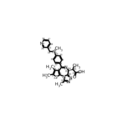 Cc1sc2c(c1C)C(c1ccc(N(C)Cc3cccnc3)cc1)=N[C@@H](C(C)C(=O)O)c1nnc(C)n1-2